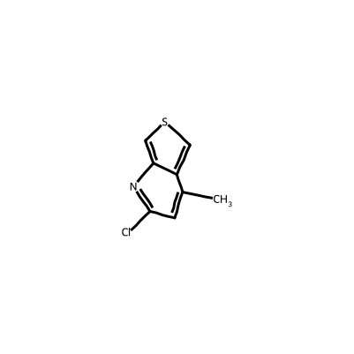 Cc1cc(Cl)nc2cscc12